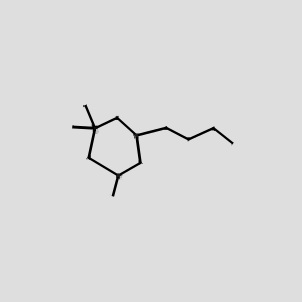 C[CH]CCC1CC(C)CC(C)(C)C1